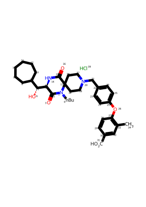 CCCCN1C(=O)[C@@H]([C@H](O)C2CCCCCC2)NC(=O)C12CCN(Cc1ccc(Oc3ccc(C(=O)O)cc3C)cc1)CC2.Cl